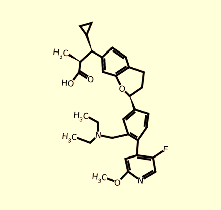 CCN(CC)Cc1cc([C@@H]2CCc3ccc([C@H](C4CC4)[C@H](C)C(=O)O)cc3O2)ccc1-c1cc(OC)ncc1F